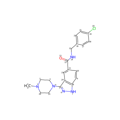 CN1CCN(c2n[nH]c3ccc(C(=O)NCc4ccc(Cl)cc4)cc23)CC1